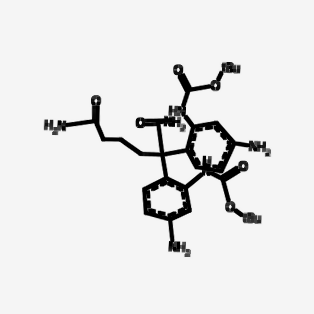 CC(C)(C)OC(=O)Nc1cc(N)ccc1C(CCCC(N)=O)(C(N)=O)c1ccc(N)cc1NC(=O)OC(C)(C)C